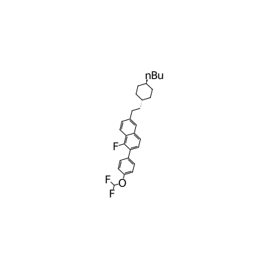 CCCC[C@H]1CC[C@H](CCc2ccc3c(F)c(-c4ccc(OC(F)F)cc4)ccc3c2)CC1